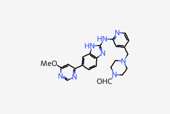 COc1cc(-c2ccc3nc(Nc4cc(CN5CCN(C=O)CC5)ccn4)[nH]c3c2)ncn1